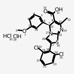 COc1cccc([C@H]2C(C(=O)O)=C(C)N=C3SC(c4c(Cl)cccc4Cl)=CN32)c1.Cl.Cl